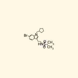 CC(C)S(=O)(=O)NCCc1cn(CC2CCCC2)c2cc(Br)ccc12